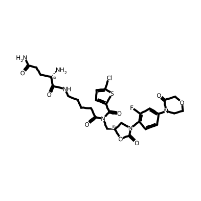 NC(=O)CC[C@H](N)C(=O)NCCCCC(=O)N(C[C@H]1CN(c2ccc(N3CCOCC3=O)cc2F)C(=O)O1)C(=O)c1ccc(Cl)s1